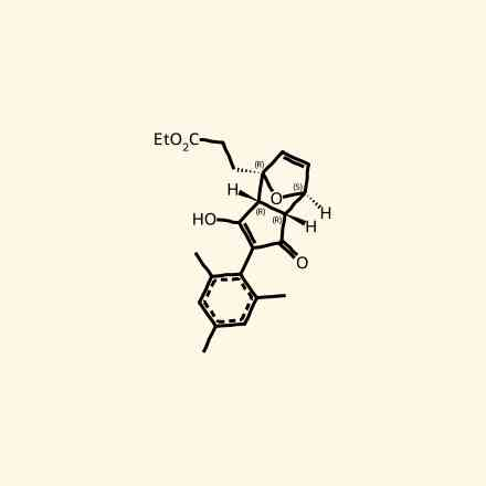 CCOC(=O)CC[C@]12C=C[C@H](O1)[C@@H]1C(=O)C(c3c(C)cc(C)cc3C)=C(O)[C@@H]12